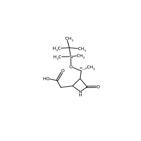 C[C@@H](O[Si](C)(C)C(C)(C)C)C1C(=O)NC1CC(=O)O